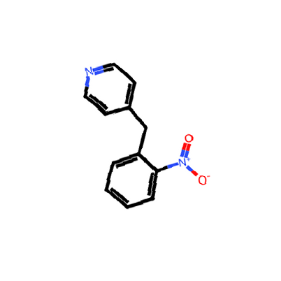 O=[N+]([O-])c1ccccc1Cc1ccncc1